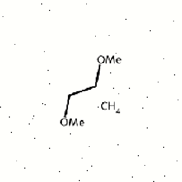 C.COCCOC